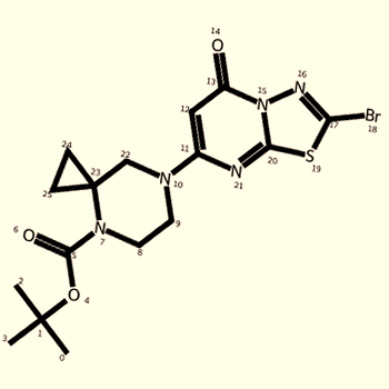 CC(C)(C)OC(=O)N1CCN(c2cc(=O)n3nc(Br)sc3n2)CC12CC2